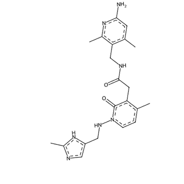 Cc1ncc(CNn2ccc(C)c(CC(=O)NCc3c(C)cc(N)nc3C)c2=O)[nH]1